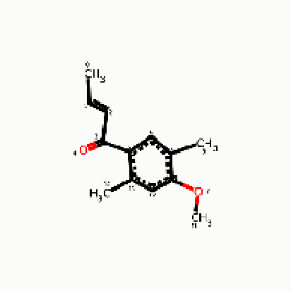 CC=CC(=O)c1cc(C)c(OC)cc1C